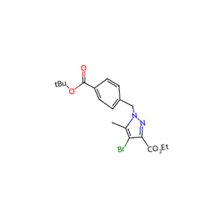 CCOC(=O)c1nn(Cc2ccc(C(=O)OC(C)(C)C)cc2)c(C)c1Br